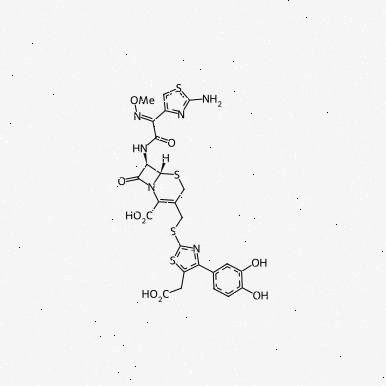 CON=C(C(=O)N[C@@H]1C(=O)N2C(C(=O)O)=C(CSc3nc(-c4ccc(O)c(O)c4)c(CC(=O)O)s3)CS[C@@H]12)c1csc(N)n1